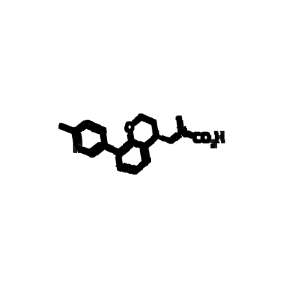 Cc1ccc(-c2cccc3c2OCC[C@H]3CN(C)C(=O)O)cn1